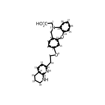 O=C(O)CN1Cc2ccc(OCCc3ccc4c(n3)NCCC4)cc2Oc2ccccc21